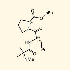 CCCCOC(=O)[C@@H]1CCCN1C(=O)[C@H](CC(C)C)NC(=O)C(C)(C)NC